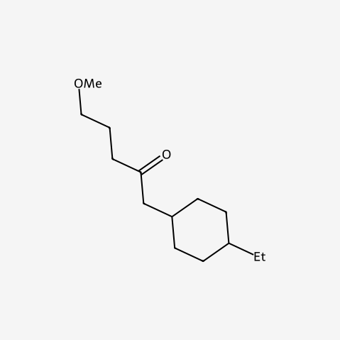 CCC1CCC(CC(=O)CCCOC)CC1